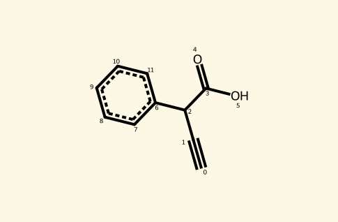 C#CC(C(=O)O)c1ccccc1